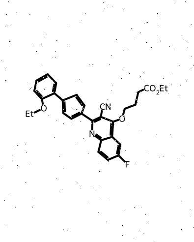 CCOC(=O)CCCOc1c(C#N)c(-c2ccc(-c3ccccc3OCC)cc2)nc2ccc(F)cc12